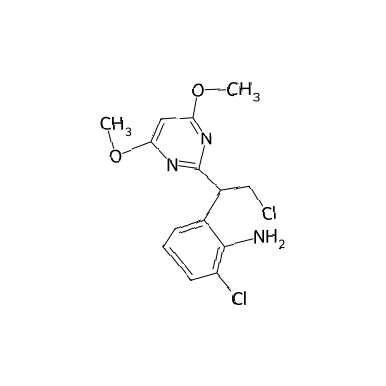 COc1cc(OC)nc(C(CCl)c2cccc(Cl)c2N)n1